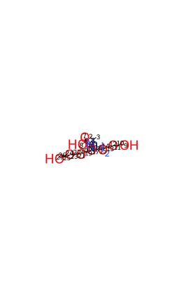 CC(C)(C)N(N)C(=O)O.OCCOCCOCCOCCOCCOCCO